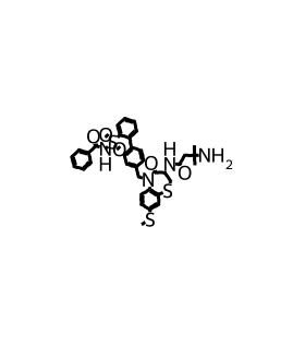 CSc1ccc2c(c1)SC[C@@H](NC(=O)CC(C)(C)N)C(=O)N2Cc1ccc(-c2ccccc2S(=O)(=O)NC(=O)c2ccccc2)cc1